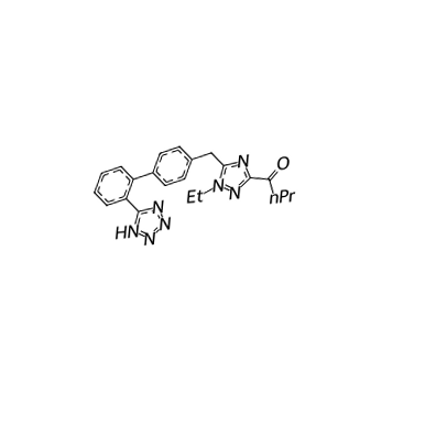 CCCC(=O)c1nc(Cc2ccc(-c3ccccc3-c3nnn[nH]3)cc2)n(CC)n1